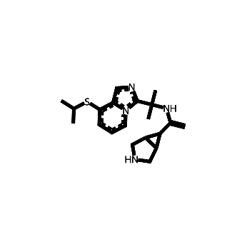 C=C(NC(C)(C)c1ncc2c(SC(C)C)cccn12)C1C2CNCC21